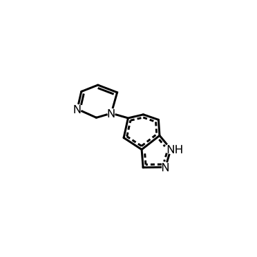 C1=CN(c2ccc3[nH]ncc3c2)CN=C1